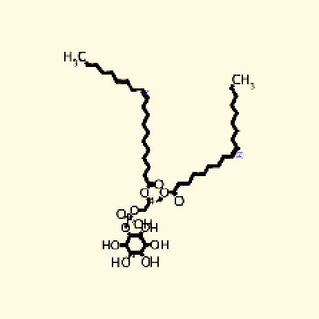 CCCCCCCC/C=C\CCCCCCCCCC(=O)O[C@H](COC(=O)CCCCCCC/C=C\CCCCCCCC)COP(=O)(O)OC1C(O)C(O)C(O)[C@@H](O)C1O